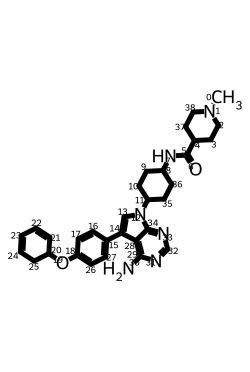 CN1CCC(C(=O)NC2CCC(n3cc(-c4ccc(OC5C=CC=CC5)cc4)c4c(N)ncnc43)CC2)CC1